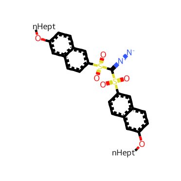 CCCCCCCOc1ccc2cc(S(=O)(=O)C(=[N+]=[N-])S(=O)(=O)c3ccc4cc(OCCCCCCC)ccc4c3)ccc2c1